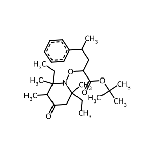 CCC1(C)CC(=O)C(C)C(C)(CC)N1OC(CC(C)c1ccccc1)C(=O)OC(C)(C)C